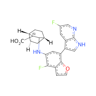 O=C(O)[C@@H]1C(Nc2cc(-c3c[nH]c4ncc(F)cc34)c3occc3c2F)[C@H]2CC[C@@H]1CC2